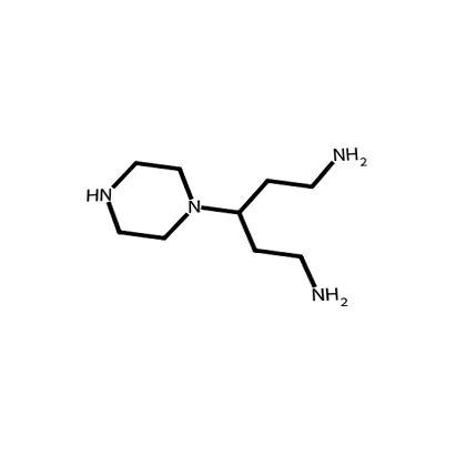 NCCC(CCN)N1CCNCC1